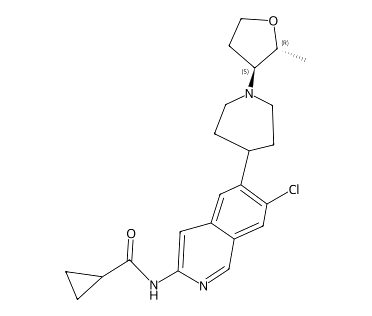 C[C@H]1OCC[C@@H]1N1CCC(c2cc3cc(NC(=O)C4CC4)ncc3cc2Cl)CC1